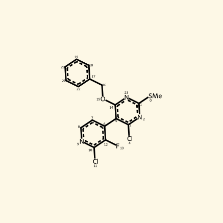 CSc1nc(Cl)c(-c2ccnc(Cl)c2F)c(OCc2ccccc2)n1